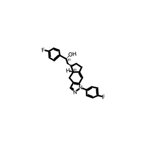 O[C@H](C[C@H]1CCC2=Cc3c(cnn3-c3ccc(F)cc3)C[C@@H]21)c1ccc(F)cc1